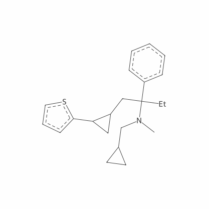 CCC(CC1CC1c1cccs1)(c1ccccc1)N(C)CC1CC1